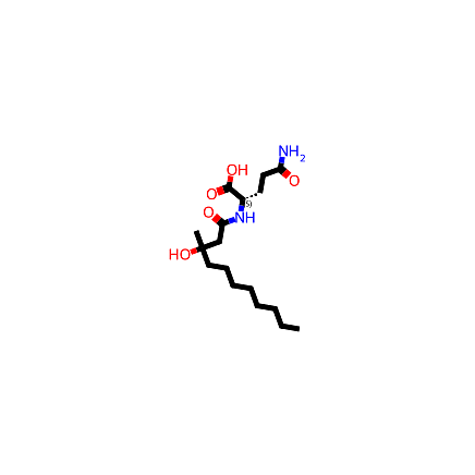 CCCCCCCCC(C)(O)CC(=O)N[C@@H](CCC(N)=O)C(=O)O